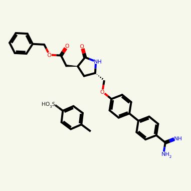 Cc1ccc(S(=O)(=O)O)cc1.N=C(N)c1ccc(-c2ccc(OC[C@@H]3C[C@@H](CC(=O)OCc4ccccc4)C(=O)N3)cc2)cc1